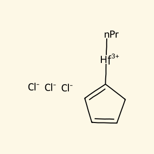 CC[CH2][Hf+3][C]1=CC=CC1.[Cl-].[Cl-].[Cl-]